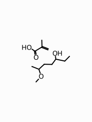 C=C(C)C(=O)O.CCC(O)CCC(C)OC